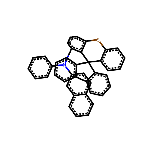 c1ccc(N(c2ccc3ccccc3c2)c2cccc3c2C2(c4ccccc4S3)c3ccccc3-c3ccccc32)cc1